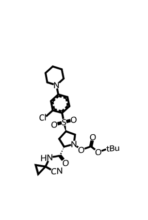 CC(C)(C)OC(=O)ON1C[C@H](S(=O)(=O)c2ccc(N3CCCCC3)cc2Cl)C[C@H]1C(=O)NC1(C#N)CC1